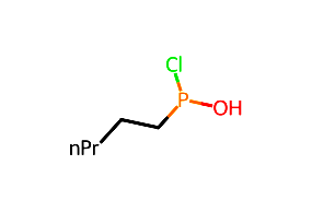 CCCCCP(O)Cl